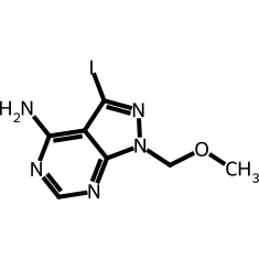 COCn1nc(I)c2c(N)ncnc21